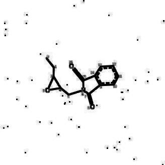 CCC1OC1CN1C(=O)c2ccccc2C1=O